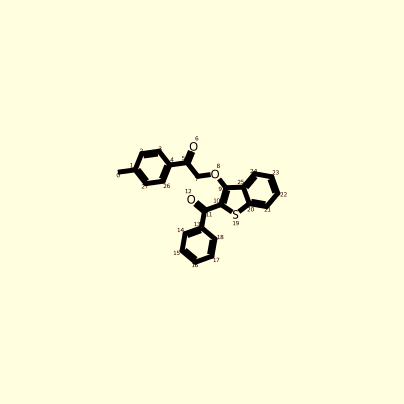 Cc1ccc(C(=O)COc2c(C(=O)c3ccccc3)sc3ccccc23)cc1